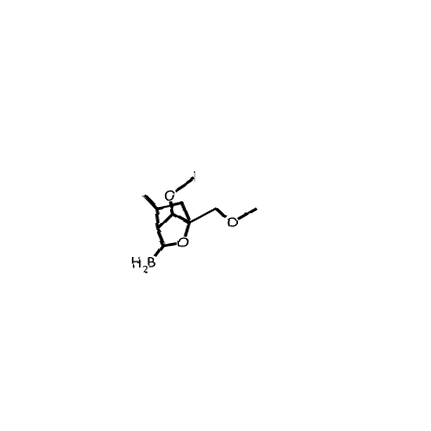 BC1OC2(COC)CC(C)C1C2OI